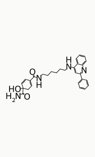 NC(=O)C1(O)C=CC(C(=O)NCCCCCCNc2cc(-c3ccccc3)nc3ccccc23)=CC1